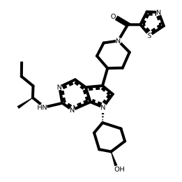 CCC[C@H](C)Nc1ncc2c(C3CCN(C(=O)c4cncs4)CC3)cn([C@H]3CC[C@H](O)CC3)c2n1